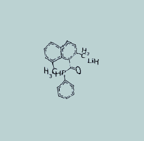 Cc1ccc2cccc(C)c2c1C(=O)Pc1ccccc1.[LiH]